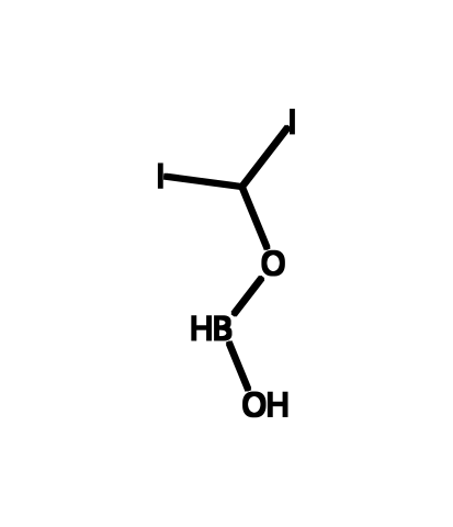 OBOC(I)I